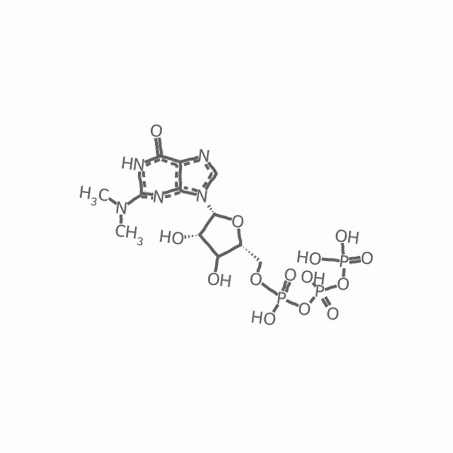 CN(C)c1nc2c(ncn2[C@@H]2O[C@H](COP(=O)(O)OP(=O)(O)OP(=O)(O)O)C(O)[C@@H]2O)c(=O)[nH]1